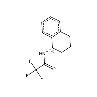 O=C(N[C@H]1CCCc2ccccc21)C(F)(F)F